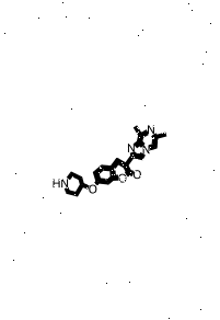 Cc1cn2cc(-c3cc4ccc(OC5CCNCC5)cc4oc3=O)nc2c(C)n1